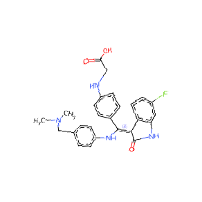 CN(C)Cc1ccc(N/C(=C2\C(=O)Nc3cc(F)ccc32)c2ccc(NCC(=O)O)cc2)cc1